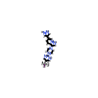 Cn1cc(-c2ccc3c(N4CCN(c5nc[c]([Mg][I])cn5)CC4)cnn3c2)cn1